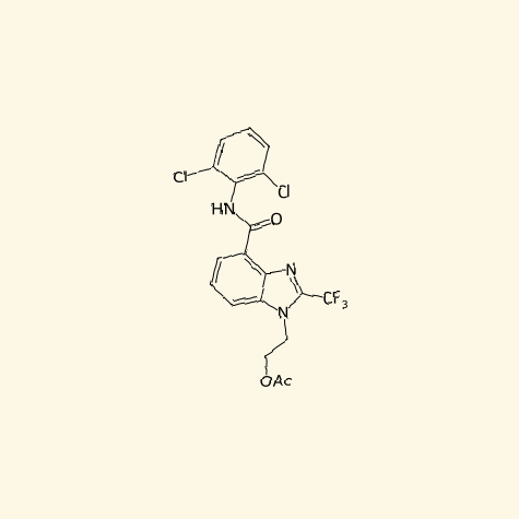 CC(=O)OCCn1c(C(F)(F)F)nc2c(C(=O)Nc3c(Cl)cccc3Cl)cccc21